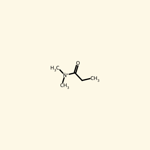 CCC(=O)[N+](C)C